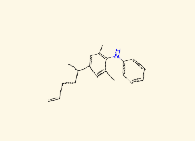 C=CCCC(C)c1cc(C)c(Nc2ccccc2)c(C)c1